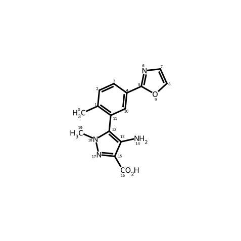 Cc1ccc(-c2ncco2)cc1-c1c(N)c(C(=O)O)nn1C